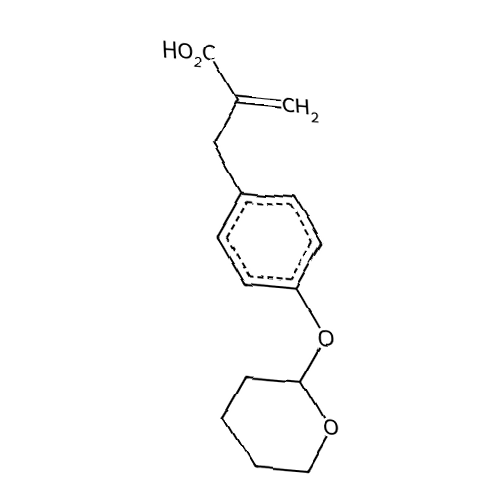 C=C(Cc1ccc(OC2CCCCO2)cc1)C(=O)O